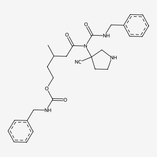 CC(CCOC(=O)NCc1ccccc1)CC(=O)N(C(=O)NCc1ccccc1)C1(C#N)CCNC1